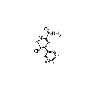 NC(=O)c1cc(-c2cnccn2)c(Cl)cn1